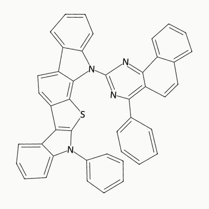 c1ccc(-c2nc(-n3c4ccccc4c4ccc5c(sc6c5c5ccccc5n6-c5ccccc5)c43)nc3c2ccc2ccccc23)cc1